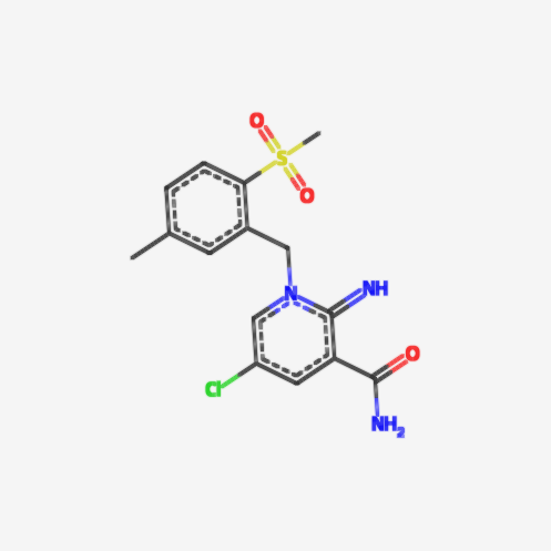 Cc1ccc(S(C)(=O)=O)c(Cn2cc(Cl)cc(C(N)=O)c2=N)c1